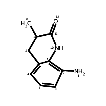 CC1Cc2cccc(N)c2NC1=O